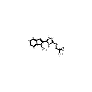 Cn1c(-c2nnc(SCC(=O)O)[nH]2)cc2ccccc21